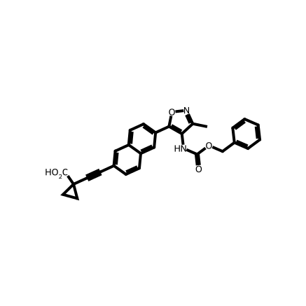 Cc1noc(-c2ccc3cc(C#CC4(C(=O)O)CC4)ccc3c2)c1NC(=O)OCc1ccccc1